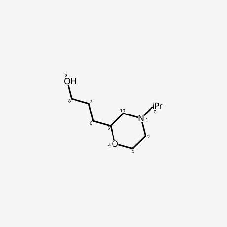 CC(C)N1CCOC(CCCO)C1